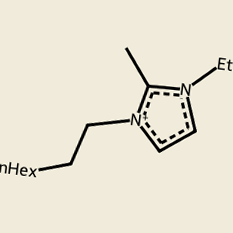 CCCCCCCC[n+]1ccn(CC)c1C